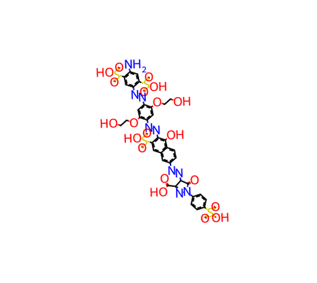 Nc1cc(S(=O)(=O)O)c(/N=N/c2cc(OCCO)c(/N=N/c3c(S(=O)(=O)O)cc4cc(/N=N/C5C(=O)N(c6ccc(S(=O)(=O)O)cc6)N=C5C(=O)O)ccc4c3O)cc2OCCO)cc1S(=O)(=O)O